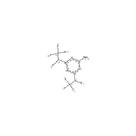 Nc1cc(C(F)C(F)(F)F)cc(C(F)C(F)(F)F)c1